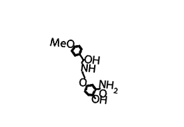 COc1ccc(C(O)CNCCOc2ccc(O)c(C(N)=O)c2)cc1